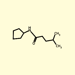 CC(C)CCC(=O)NC1CCCC1